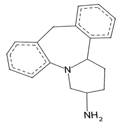 NC1CCC2c3ccccc3Cc3ccccc3N2C1